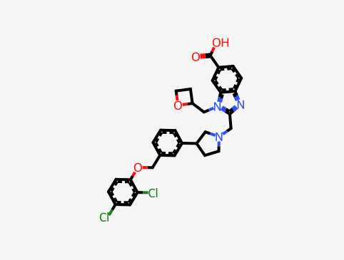 O=C(O)c1ccc2nc(CN3CCC(c4cccc(COc5ccc(Cl)cc5Cl)c4)C3)n(CC3CCO3)c2c1